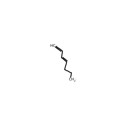 [CH]=CC=CCC[CH2]